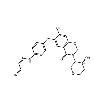 Cc1cc2c(cc1Cc1ccc(N/N=C\C=N)cc1)C(=O)N(C1COCC[C@@H]1O)CO2